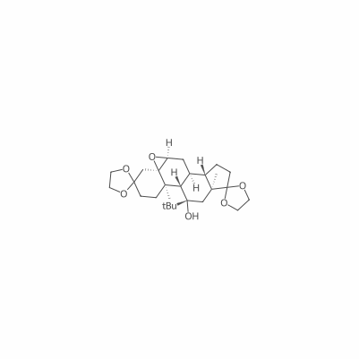 CC(C)(C)[C@]1(O)C[C@@]2(C)[C@@H](CCC23OCCO3)[C@@H]2C[C@@H]3O[C@@]34CC3(CC[C@]4(C)[C@H]21)OCCO3